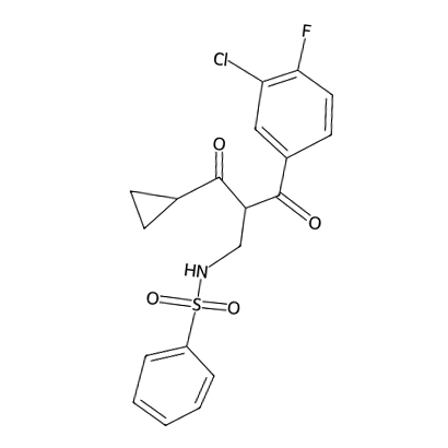 O=C(c1ccc(F)c(Cl)c1)C(CNS(=O)(=O)c1ccccc1)C(=O)C1CC1